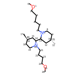 COCCCCCN1CC[C@H](C)CC1C1C[C@H](C)CCN1CCCCOC